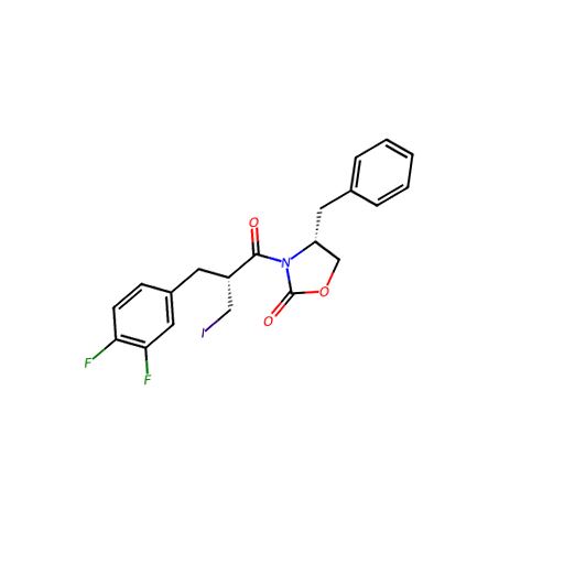 O=C1OC[C@@H](Cc2ccccc2)N1C(=O)[C@H](CI)Cc1ccc(F)c(F)c1